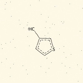 [CH]c1ccsc1